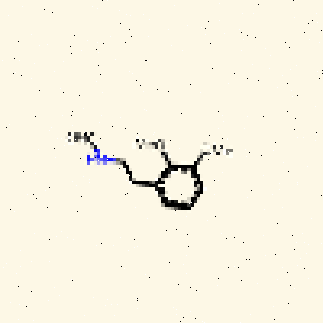 COc1cccc(CCNC=O)c1OC